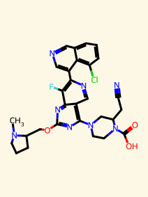 CN1CCCC1COc1nc(N2CCN(C(=O)O)C(CC#N)C2)c2cnc(-c3cncc4cccc(Cl)c34)c(F)c2n1